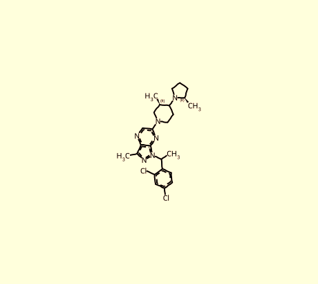 Cc1nn(C(C)c2ccc(Cl)cc2Cl)c2nc(N3CCC(N4CCC[C@H]4C)[C@H](C)C3)cnc12